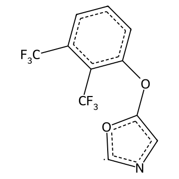 FC(F)(F)c1cccc(Oc2cn[c]o2)c1C(F)(F)F